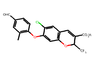 Cc1cc(C=O)ccc1Oc1cc2c(cc1Cl)C=C(C(=O)O)C(C(F)(F)F)O2